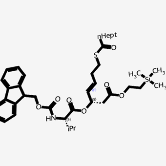 CCCCCCCC(=O)SCC/C=C/[C@H](CC(=O)OCC[Si](C)(C)C)OC(=O)[C@@H](NC(=O)OCC1c2ccccc2-c2ccccc21)C(C)C